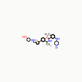 Cc1ccc(NC2CCNCC2)cc1C(=O)NC(C)c1cccc(-c2ccc(CN[C@H]3CC[C@@H](O)C3)s2)c1